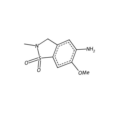 COc1cc2c(cc1N)CN(C)S2(=O)=O